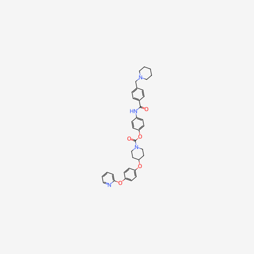 O=C(Nc1ccc(OC(=O)N2CCC(Oc3ccc(Oc4ccccn4)cc3)CC2)cc1)c1ccc(CN2CCCCC2)cc1